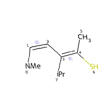 CN/C=C\C(=C(/C)S)C(C)C